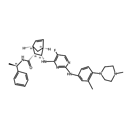 Cc1cc(Nc2ncc(F)c(N[C@@H]3[C@H](C(=O)N[C@H](C)c4ccccc4)[C@H]4C=C[C@@H]3C4)n2)ccc1N1CCN(C)CC1